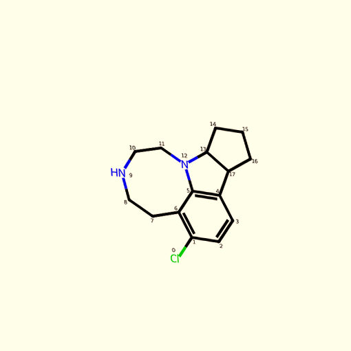 Clc1ccc2c3c1CCNCCN3C1CCCC21